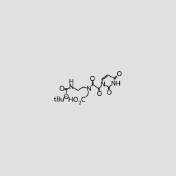 CC(C)(C)OC(=O)NCCN(CC(=O)O)C(=O)C(=O)n1ccc(=O)[nH]c1=O